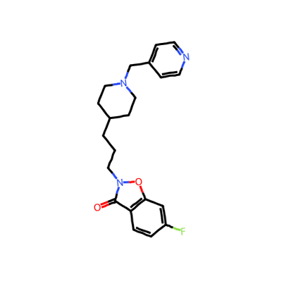 O=c1c2ccc(F)cc2on1CCCC1CCN(Cc2ccncc2)CC1